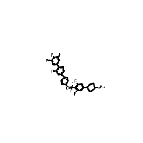 CCCCC1CCC(c2cc(F)c(C(F)(F)Oc3ccc(-c4ccc(-c5cc(F)c(F)c(F)c5)c(F)c4)cc3)c(F)c2)CC1